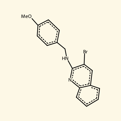 COc1ccc(CNc2nc3ccccc3cc2Br)cc1